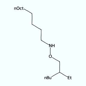 CCCCCCCCCCCCNOCC(CC)CCCC